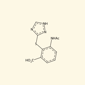 CC(=O)Nc1cccc(C(=O)O)c1Sc1nc[nH]n1